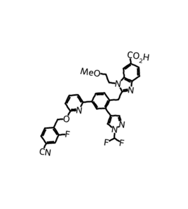 COCCn1c(Cc2ccc(-c3cccc(OCc4ccc(C#N)cc4F)n3)cc2-c2cnn(C(F)F)c2)nc2ccc(C(=O)O)cc21